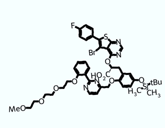 COCCOCCOCCOc1ccccc1-c1nccc(COc2ccc(O[Si](C)(C)C(C)(C)C)cc2C[C@@H](Oc2ncnc3sc(-c4ccc(F)cc4)c(Br)c23)C(=O)O)n1